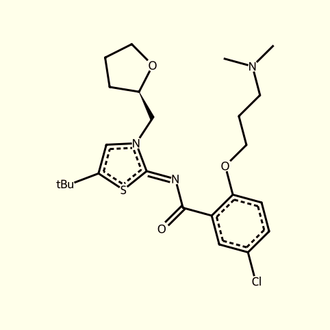 CN(C)CCCOc1ccc(Cl)cc1C(=O)N=c1sc(C(C)(C)C)cn1C[C@H]1CCCO1